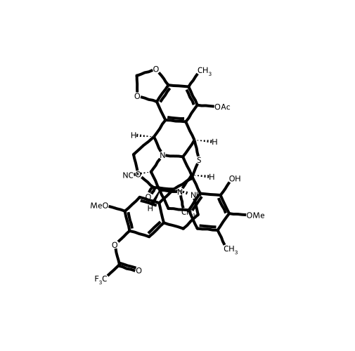 COc1cc2c(cc1OC(=O)C(F)(F)F)CCN[C@]21CS[C@@H]2c3c(OC(C)=O)c(C)c4c(c3[C@H](COC1=O)N1C2[C@H]2c3c(cc(C)c(OC)c3O)C[C@H]([C@@H]1C#N)N2C)OCO4